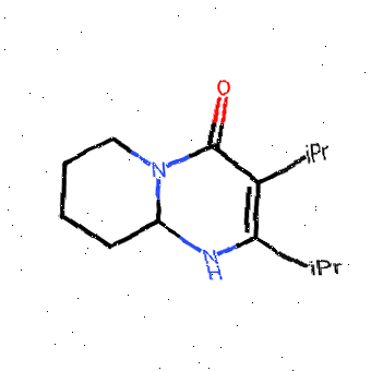 CC(C)C1=C(C(C)C)C(=O)N2CCCCC2N1